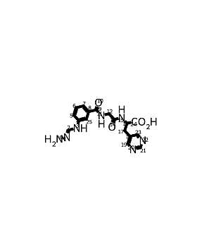 NN=CNc1cccc(C(=O)NCC(=O)NC(Cc2cncnc2)C(=O)O)c1